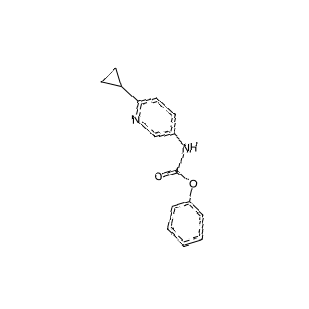 O=C(Nc1ccc(C2CC2)nc1)Oc1ccccc1